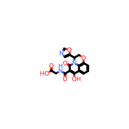 O=C(O)CNC(=O)c1c(O)c2cccc3c2n(c1=O)C(c1cnco1)CO3